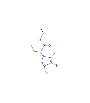 CCOC(=O)C(CC)n1nc(Br)c(Br)c1C